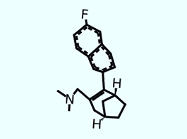 CN(C)CC1=C(c2ccc3cc(F)ccc3c2)[C@@H]2CC[C@@H](C1)C2